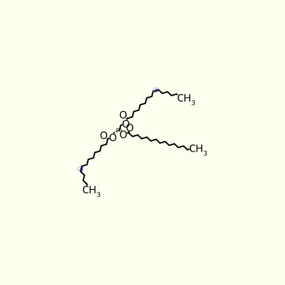 CCCC/C=C\CCCCCCCC(=O)OC[C@H](COC(=O)CCCCCCC/C=C\CCCCC)OC(=O)CCCCCCCCCCCCCC